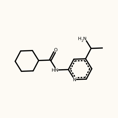 CC(N)c1ccnc(NC(=O)C2CCCCC2)c1